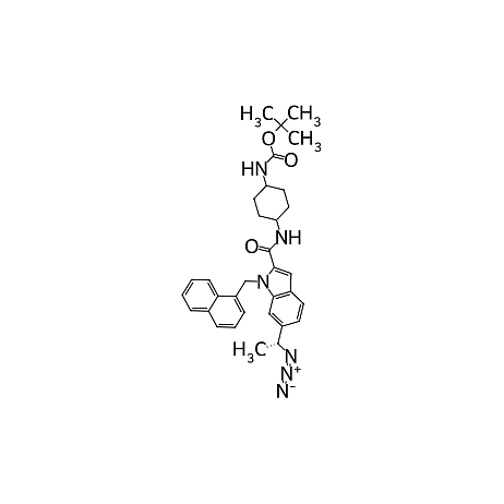 C[C@@H](N=[N+]=[N-])c1ccc2cc(C(=O)NC3CCC(NC(=O)OC(C)(C)C)CC3)n(Cc3cccc4ccccc34)c2c1